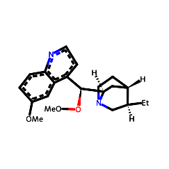 CC[C@H]1CN2CC[C@H]1C[C@@H]2[C@@H](OOC)c1ccnc2ccc(OC)cc12